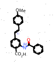 COc1ccc(/C=C/c2ccc(C(=O)O)c(NC(=O)c3ccccc3)c2)cc1